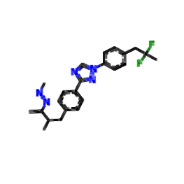 C=C(/N=N/C)C(C)Cc1ccc(-c2ncn(-c3ccc(CC(C)(F)F)cc3)n2)cc1